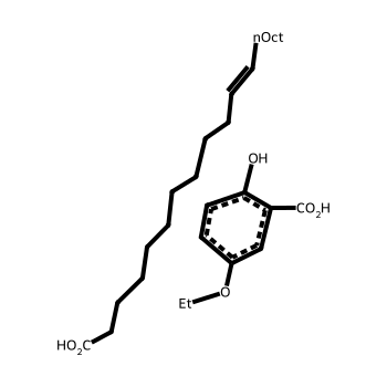 CCCCCCCCC=CCCCCCCCCCC(=O)O.CCOc1ccc(O)c(C(=O)O)c1